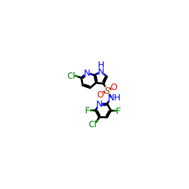 O=S(=O)(Nc1nc(F)c(Cl)cc1F)c1c[nH]c2nc(Cl)ccc12